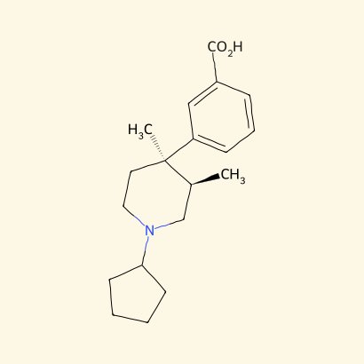 C[C@H]1CN(C2CCCC2)CC[C@@]1(C)c1cccc(C(=O)O)c1